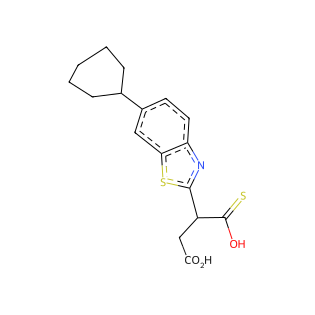 O=C(O)CC(C(O)=S)c1nc2ccc(C3CCCCC3)cc2s1